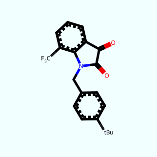 CC(C)(C)c1ccc(CN2C(=O)C(=O)c3cccc(C(F)(F)F)c32)cc1